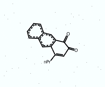 CCCC1=CC(=O)C(=O)c2cc3ccccc3cc21